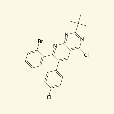 CC(C)(C)c1nc(Cl)c2cc(-c3ccc(Cl)cc3)c(-c3ccccc3Br)nc2n1